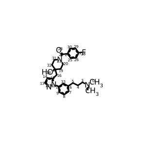 CN(C)CCCc1cccc(-n2nccc2CC2(O)CCN(C(=O)c3ccc(F)cc3)CC2)c1